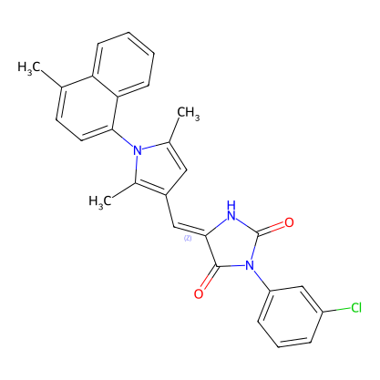 Cc1ccc(-n2c(C)cc(/C=C3\NC(=O)N(c4cccc(Cl)c4)C3=O)c2C)c2ccccc12